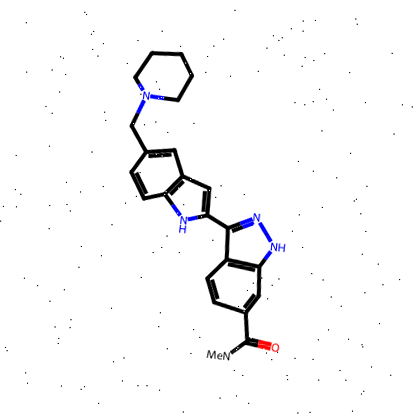 CNC(=O)c1ccc2c(-c3cc4cc(CN5CCCCC5)ccc4[nH]3)n[nH]c2c1